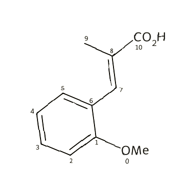 COc1ccccc1C=C(C)C(=O)O